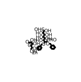 O=C1O[C@H]([C@@H](O)CO)C(O)=C1O.O=C[C@@H](O)[C@@H](O)[C@H](O)[C@H](O)[C@@H](O)[C@@H](O)[C@H](OCc1ccccc1)[C@H](C=O)OCc1ccccc1.[Zn]